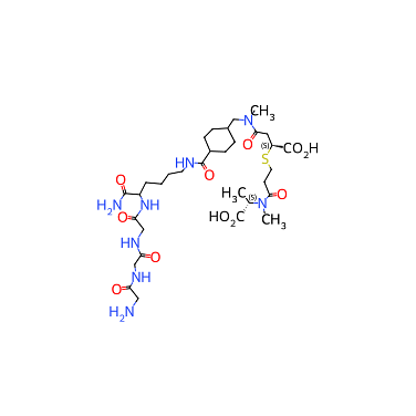 C[C@@H](C(=O)O)N(C)C(=O)CCS[C@@H](CC(=O)N(C)CC1CCC(C(=O)NCCCCC(NC(=O)CNC(=O)CNC(=O)CN)C(N)=O)CC1)C(=O)O